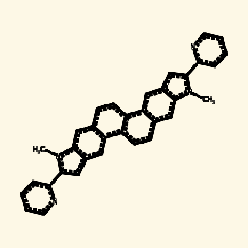 Cn1c(-c2ccccn2)cc2cc3c(ccc4c5cc6cc(-c7ccccn7)n(C)c6cc5ccc34)cc21